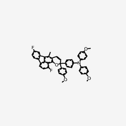 COc1ccc(N(c2ccc(OC)cc2)c2ccc(C3(c4ccc(OC)cc4)C=Cc4c(C)c5c6c(ccc(F)c6c4O3)-c3ccc(F)cc3-5)cc2)cc1